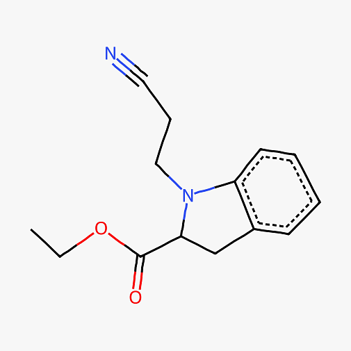 CCOC(=O)C1Cc2ccccc2N1CCC#N